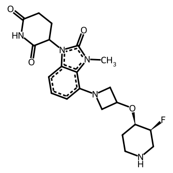 Cn1c(=O)n(C2CCC(=O)NC2=O)c2cccc(N3CC(O[C@@H]4CCNC[C@@H]4F)C3)c21